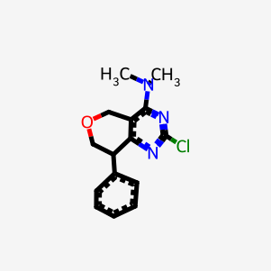 CN(C)c1nc(Cl)nc2c1COCC2c1ccccc1